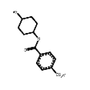 CC(C)C1CCC(OC(=O)c2ccc(C(=O)O)cc2)CC1